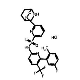 Cc1ccc(F)cc1-c1nc(NS(=O)(=O)c2cccc(N3CC4CCC3CN4)n2)ccc1C(F)(F)F.Cl